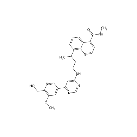 CNC(=O)c1ccnc2c(C(C)CCNc3cc(-c4cnc(CO)c(OC)c4)ncn3)cccc12